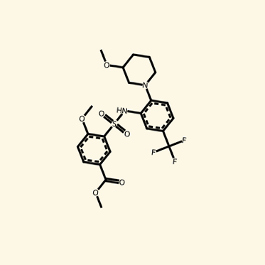 COC(=O)c1ccc(OC)c(S(=O)(=O)Nc2cc(C(F)(F)F)ccc2N2CCCC(OC)C2)c1